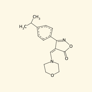 CC(C)c1ccc(C2=NOC(=O)C2=CN2CCOCC2)cc1